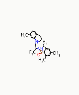 Cc1cc(C)c([S+]([O-])NC(CN2CCCc3ccc(C)cc32)C(F)(F)F)c(C)c1